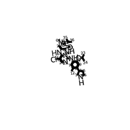 CN/C=C(/Nc1nc(Nc2cc(C)c(C3CCNC3)cc2OC(C)C)ncc1Cl)C(=N)S(=O)(=O)C(C)C